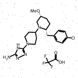 CO[C@@H]1CC[C@H](Cc2ccc(Cl)cc2)N(C2CCN(c3nnc(N)[nH]3)CC2)C1.O=C(O)C(F)(F)F